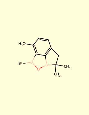 Cc1ccc2c3c1B(C(C)C)OB3C(C)(C)C2